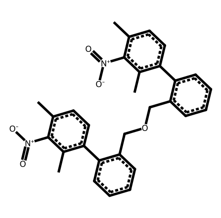 Cc1ccc(-c2ccccc2COCc2ccccc2-c2ccc(C)c([N+](=O)[O-])c2C)c(C)c1[N+](=O)[O-]